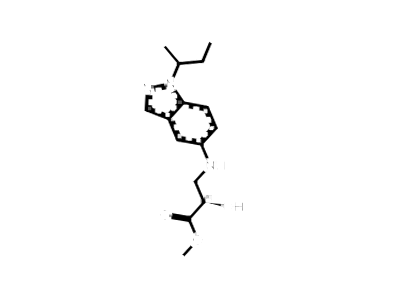 CCC(C)n1ncc2cc(NC[C@@H](O)C(=O)OC)ccc21